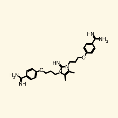 Cc1c(C)n(CCCOc2ccc(C(=N)N)cc2)c(=N)n1CCCOc1ccc(C(=N)N)cc1